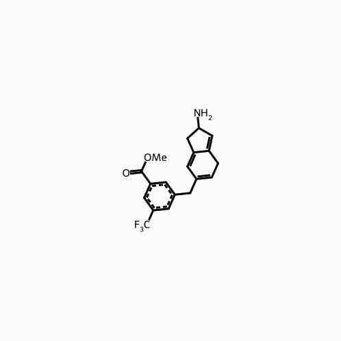 COC(=O)c1cc(CC2=CCC3=CC(N)CC3=C2)cc(C(F)(F)F)c1